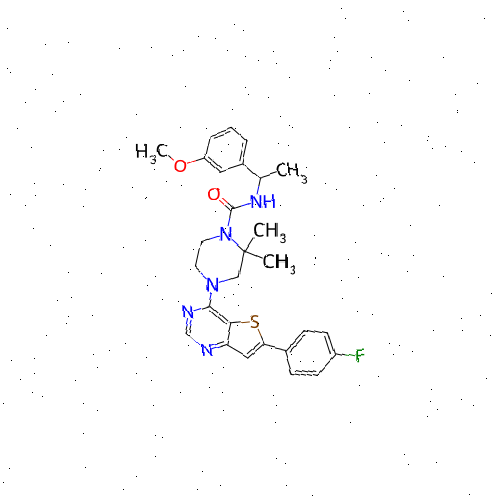 COc1cccc(C(C)NC(=O)N2CCN(c3ncnc4cc(-c5ccc(F)cc5)sc34)CC2(C)C)c1